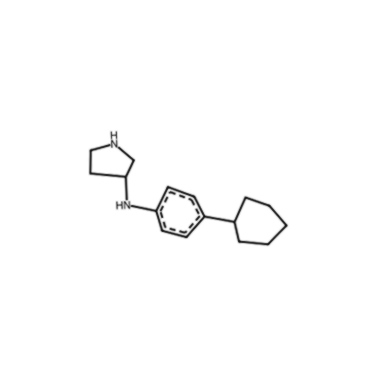 c1cc(C2CCCCC2)ccc1NC1CCNC1